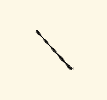 CS(=S)(=S)SSSSSSSSSSSSSSSSSSSSSSSSSSSSSSSSSSSSSSSSSSSSSSSSSSSSSSSSSSSSSSSSS